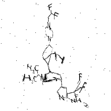 CC(C)n1nc(-c2cnc(N)c(C(F)(F)F)c2)cc1[C@H]1C2C[C@H](N3CCN(CC(F)F)CC3)C[C@@H]21